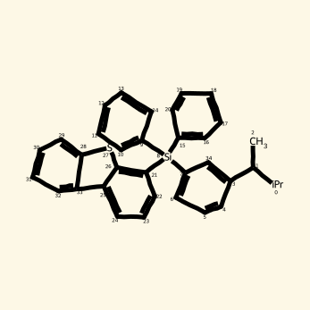 CC(C)C(C)c1cccc([Si](c2ccccc2)(c2ccccc2)c2cccc3c2sc2ccccc23)c1